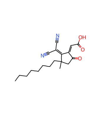 CCCCCCCCC1(C)CC(=O)/C(=C\C(=O)O)C1=C(C#N)C#N